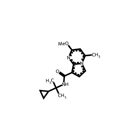 COc1cc(C)n2ccc(C(=O)NC(C)(C)C3CC3)c2n1